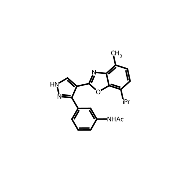 CC(=O)Nc1cccc(-c2n[nH]cc2-c2nc3c(C)ccc(C(C)C)c3o2)c1